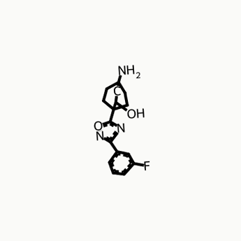 NC12CCC(c3nc(-c4cccc(F)c4)no3)(CC1)C(O)C2